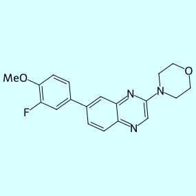 COc1ccc(-c2ccc3ncc(N4CCOCC4)nc3c2)cc1F